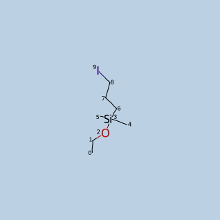 CCO[Si](C)(C)CCCI